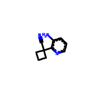 N#CC1(c2ncccc2N)CCC1